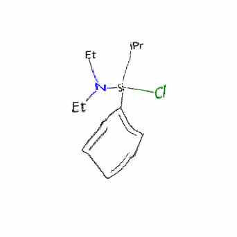 CCN(CC)[Si](Cl)(c1ccccc1)C(C)C